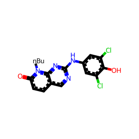 CCCCn1c(=O)ccc2cnc(Nc3cc(Cl)c(O)c(Cl)c3)nc21